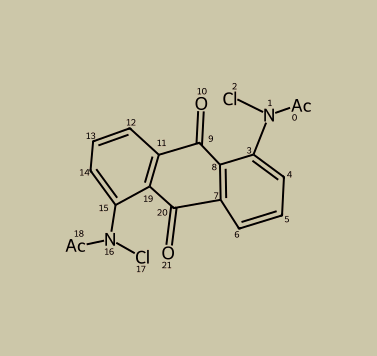 CC(=O)N(Cl)c1cccc2c1C(=O)c1cccc(N(Cl)C(C)=O)c1C2=O